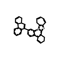 C1=CCc2c(nc3c4c(c5ccc(C6=CC7CC=CC=C7c7ccccc76)cc5n23)C=CCC4)C=C1